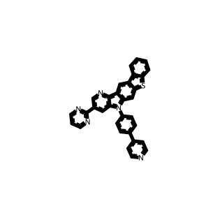 c1cnc(-c2cnc3c4cc5c(cc4n(-c4ccc(-c6ccncc6)cc4)c3c2)sc2ccccc25)nc1